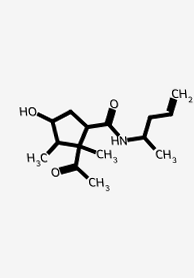 C=CCC(C)NC(=O)C1CC(O)C(C)C1(C)C(C)=O